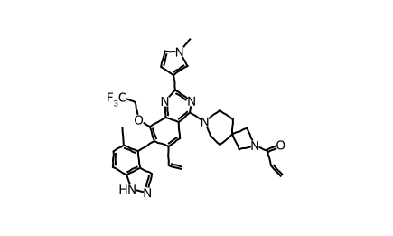 C=CC(=O)N1CC2(CCN(c3nc(-c4ccn(C)c4)nc4c(OCC(F)(F)F)c(-c5c(C)ccc6[nH]ncc56)c(C=C)cc34)CC2)C1